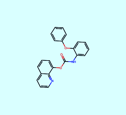 O=C(Nc1ccccc1Oc1ccccc1)Oc1cccc2cccnc12